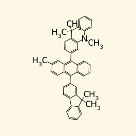 Cc1ccc2c(-c3ccc4c(c3)C(C)(C)c3ccccc3-4)c3ccccc3c(-c3ccc4c(c3)N(C)c3ccccc3C4(C)C)c2c1